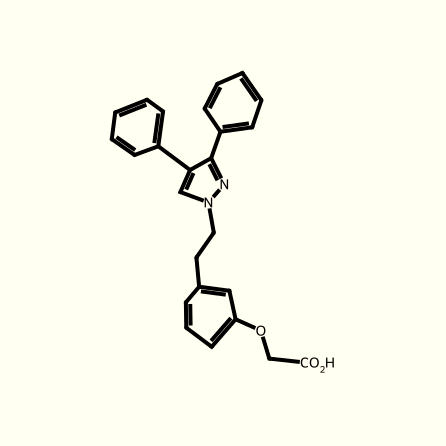 O=C(O)COc1cccc(CCn2cc(-c3ccccc3)c(-c3ccccc3)n2)c1